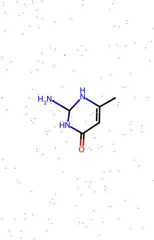 CC1=CC(=O)NC(N)N1